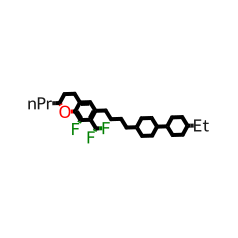 CCCC1CCc2cc(CCCCC3CCC(C4CCC(CC)CC4)CC3)c(C(F)F)c(F)c2O1